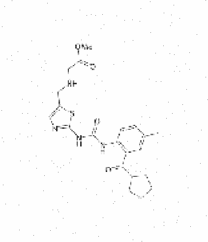 COC(=O)CNCc1cnc(NC(=O)Nc2ccc(C)cc2C(=O)C2CCCC2)s1